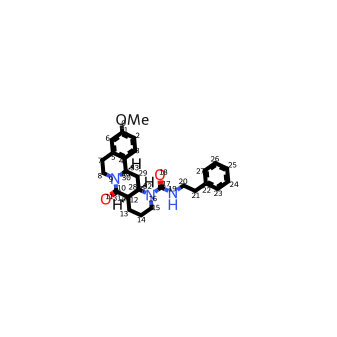 COc1ccc2c(c1)CCN1C(=O)[C@@H]3CCCN(C(=O)NCCc4ccccc4)[C@@H]3C[C@H]21